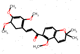 COC1=CC(OC)=C(/C=C/C(=O)c2ccc3c(c2OC)C=CC(C)(C)O3)CC1OC